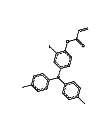 C=CC(=O)Oc1ccc(N(c2ccc(C)cc2)c2ccc(C)cc2)cc1I